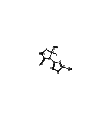 CC(=O)OC1(C)CNC(=O)N1c1cc(C(C)(C)C)on1